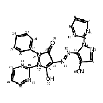 N#Cc1cnn(-c2ncccn2)c1N=Nc1c(O)n(-c2ncccn2)n(-c2ccccc2)c1=O